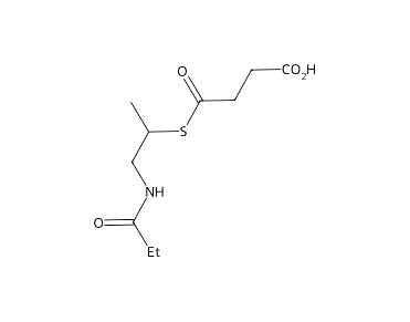 CCC(=O)NCC(C)SC(=O)CCC(=O)O